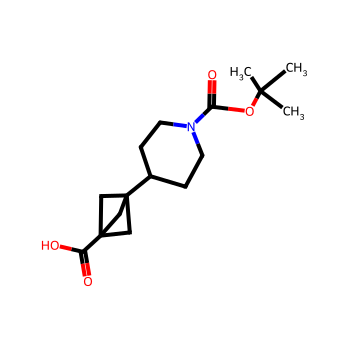 CC(C)(C)OC(=O)N1CCC(C23CC(C(=O)O)(C2)C3)CC1